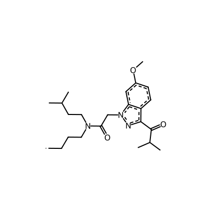 [CH2]CCCN(CCC(C)C)C(=O)Cn1nc(C(=O)C(C)C)c2ccc(OC)cc21